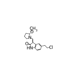 COC1CCCN1C=C1C(=O)Nc2ccc(CCCl)cc21